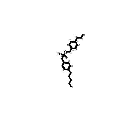 CCCCCc1ccc(CC(F)(F)OCc2ccc(CCC)cc2)cc1